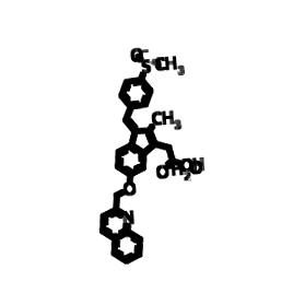 CC1=C(CC(=O)O)c2cc(OCc3ccc4ccccc4n3)ccc2C1=Cc1ccc([S+](C)[O-])cc1.O